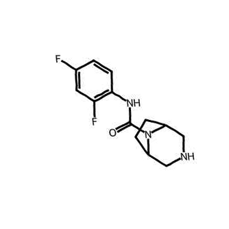 O=C(Nc1ccc(F)cc1F)N1C2CCC1CNC2